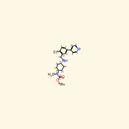 CCc1ccc(-c2ccncc2)cc1CN[C@H]1CC[C@H](N(C)C(=O)OC(C)(C)C)CC1